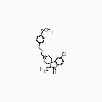 C=C1Nc2ccc(Cl)cc2C12CCN(CCCc1ccc(SC)cc1)CC2